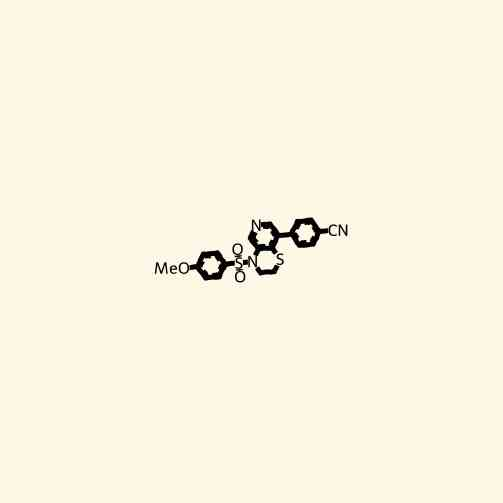 COc1ccc(S(=O)(=O)N2CCSc3c(-c4ccc(C#N)cc4)cncc32)cc1